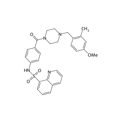 COc1ccc(CN2CCN(C(=O)c3ccc(NS(=O)(=O)c4cccc5cccnc45)cc3)CC2)c(C)c1